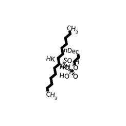 CCCCCCCCCCCCCC.CCCCCCCCCCCCOP(=O)(O)O.O=S(=O)(O)O.[KH]